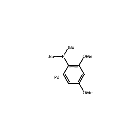 COc1ccc(P(C(C)(C)C)C(C)(C)C)c(OC)c1.[Pd]